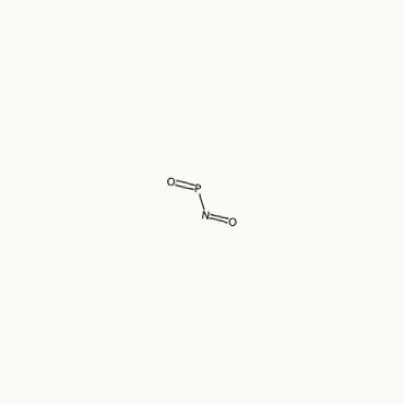 O=NP=O